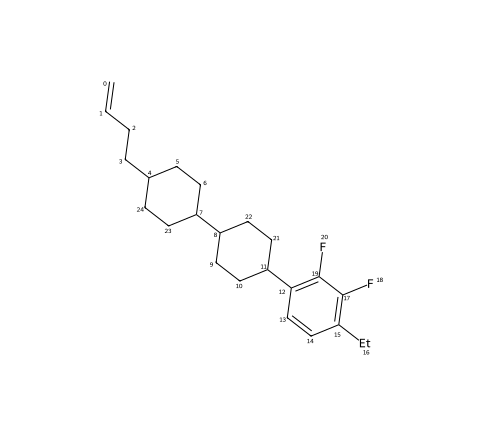 C=CCCC1CCC(C2CCC(c3ccc(CC)c(F)c3F)CC2)CC1